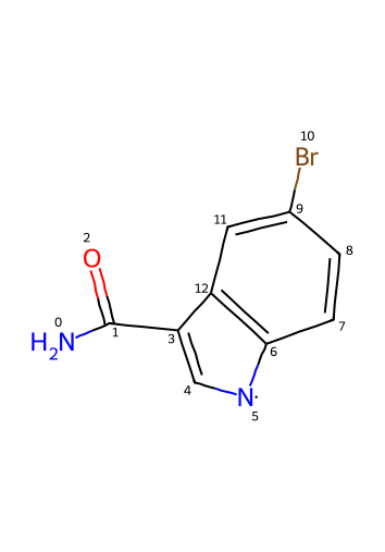 NC(=O)C1=C[N]c2ccc(Br)cc21